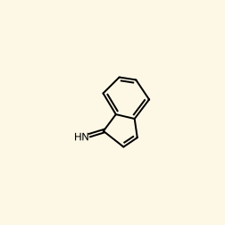 N=C1C=Cc2ccccc21